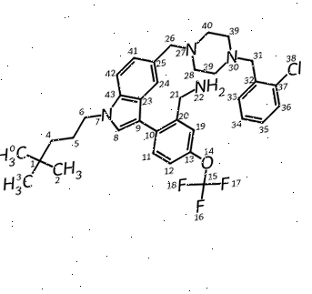 CC(C)(C)CCCn1cc(-c2ccc(OC(F)(F)F)cc2CN)c2cc(CN3CCN(Cc4ccccc4Cl)CC3)ccc21